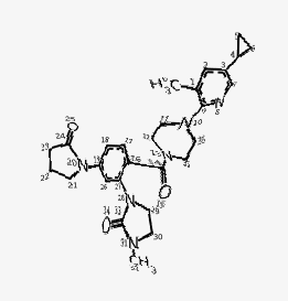 Cc1cc(C2CC2)cnc1N1CCN(C(=O)c2ccc(N3CCCC3=O)cc2N2CCN(C)C2=O)CC1